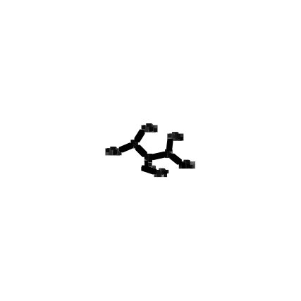 CCCC.CCCCN(CCCC)[SiH2]N(CCCC)CCCC